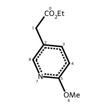 CCOC(=O)Cc1ccc(OC)nc1